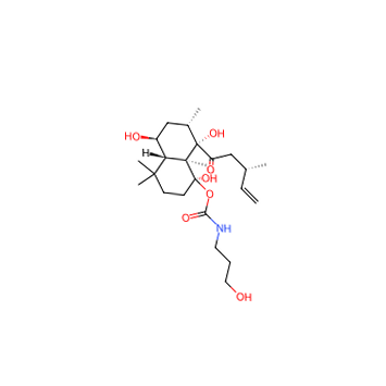 C=C[C@@H](C)CC(=O)[C@]1(O)[C@@H](C)C[C@H](O)[C@H]2C(C)(C)CC[C@](O)(OC(=O)NCCCO)[C@@]21C